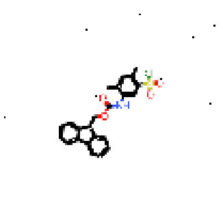 Cc1cc(C)c(S(=O)(=O)Cl)cc1NC(=O)OCC1c2ccccc2-c2ccccc21